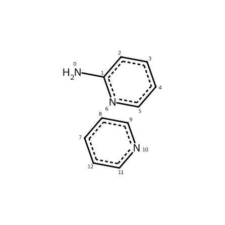 Nc1ccccn1.c1ccncc1